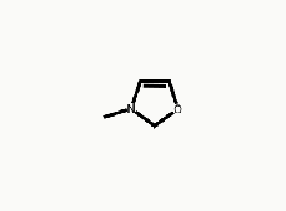 CN1[CH]OC=C1